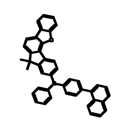 CC1(C)c2cc(N(c3ccccc3)c3ccc(-c4cccc5ccccc45)cc3)ccc2-c2c1ccc1c2oc2ccccc21